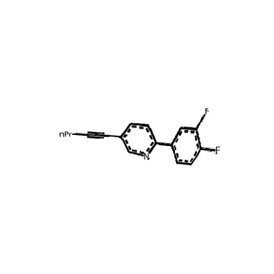 CCCC#Cc1ccc(-c2ccc(F)c(F)c2)nc1